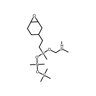 C[SiH](C)CO[Si](C)(CCC1CCC2OC2C1)O[Si](C)(C)O[Si](C)(C)C